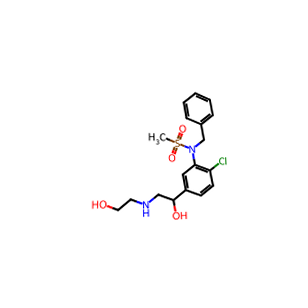 CS(=O)(=O)N(Cc1ccccc1)c1cc(C(O)CNCCO)ccc1Cl